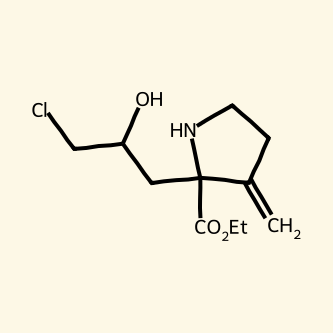 C=C1CCNC1(CC(O)CCl)C(=O)OCC